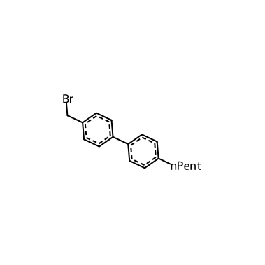 CCCCCc1ccc(-c2ccc(CBr)cc2)cc1